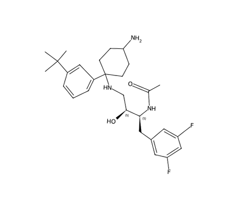 CC(=O)N[C@@H](Cc1cc(F)cc(F)c1)[C@@H](O)CNC1(c2cccc(C(C)(C)C)c2)CCC(N)CC1